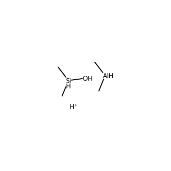 C[SiH](C)O.[CH3][AlH][CH3].[H+]